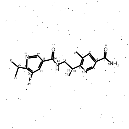 Cc1cc(C(N)=O)cnc1[C@@H](C)CNC(=O)c1cnc(C(C)C)c(F)c1